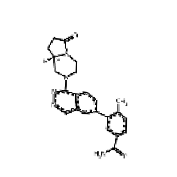 Cc1ccc(C(N)=O)cc1-c1ccc2c(N3CCN4C(=O)CC[C@H]4C3)nncc2c1